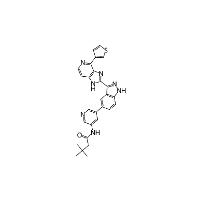 CC(C)(C)CC(=O)Nc1cncc(-c2ccc3[nH]nc(-c4nc5c(-c6ccsc6)nccc5[nH]4)c3c2)c1